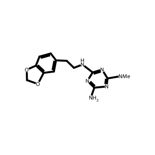 CNc1nc(N)nc(NCCc2ccc3c(c2)OCO3)n1